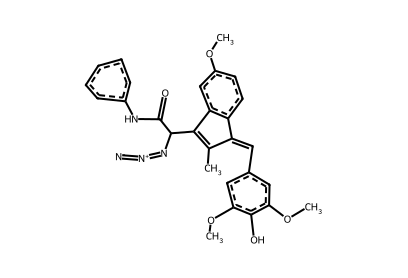 COc1ccc2c(c1)C(C(N=[N+]=[N-])C(=O)Nc1ccccc1)=C(C)C2=Cc1cc(OC)c(O)c(OC)c1